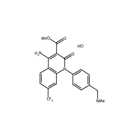 CNCc1ccc(-n2c(=O)c(C(=O)OC)c(N)c3ccc(C(F)(F)F)cc32)cc1.Cl